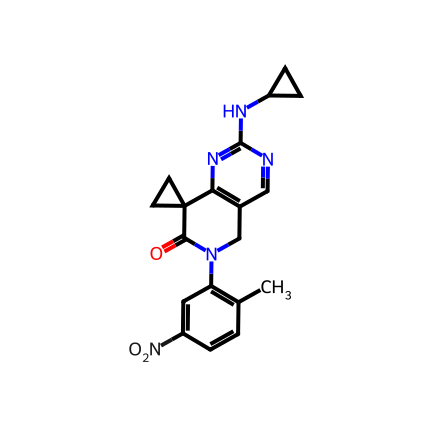 Cc1ccc([N+](=O)[O-])cc1N1Cc2cnc(NC3CC3)nc2C2(CC2)C1=O